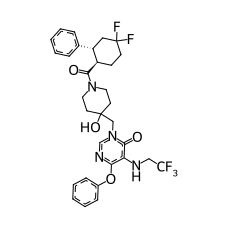 O=C([C@@H]1CCC(F)(F)C[C@H]1c1ccccc1)N1CCC(O)(Cn2cnc(Oc3ccccc3)c(NCC(F)(F)F)c2=O)CC1